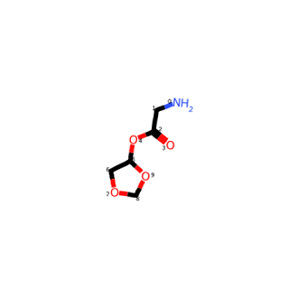 NCC(=O)OC1COCO1